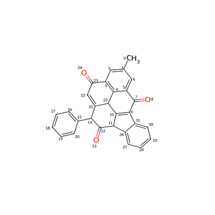 Cc1cc2c3c(c1)C(=O)C1=C4C(C(=O)C(c5ccccc5)C(=CC2=O)C43)c2ccccc21